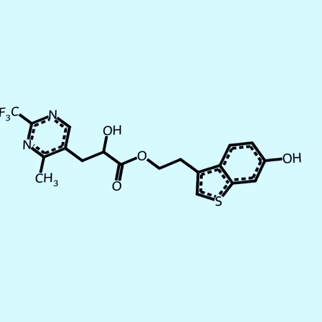 Cc1nc(C(F)(F)F)ncc1CC(O)C(=O)OCCc1csc2cc(O)ccc12